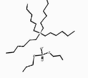 CCCCCC[P+](CCCCCC)(CCCCCC)CCCCCC.CCCOP(=O)([O-])OCCC